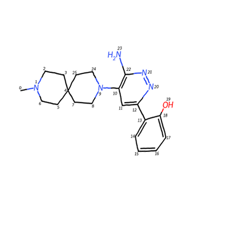 CN1CCC2(CC1)CCN(c1cc(-c3ccccc3O)nnc1N)CC2